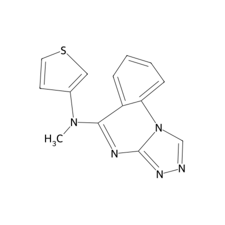 CN(c1ccsc1)c1nc2nncn2c2ccccc12